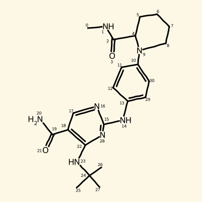 CNC(=O)C1CCCCN1c1ccc(Nc2ncc(C(N)=O)c(NC(C)(C)C)n2)cc1